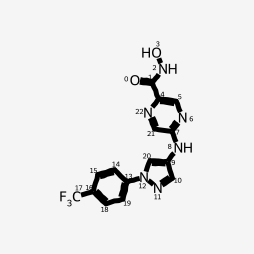 O=C(NO)c1cnc(Nc2cnn(-c3ccc(C(F)(F)F)cc3)c2)cn1